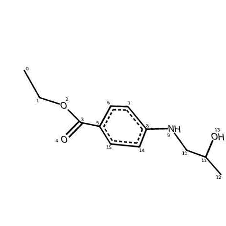 CCOC(=O)c1ccc(NCC(C)O)cc1